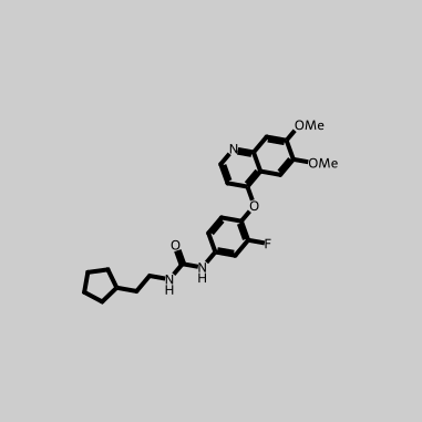 COc1cc2nccc(Oc3ccc(NC(=O)NCCC4CCCC4)cc3F)c2cc1OC